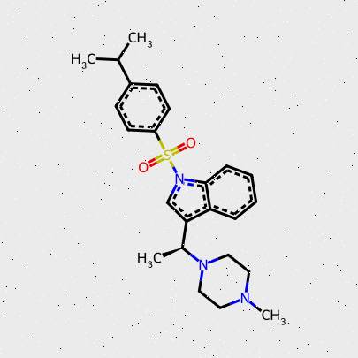 CC(C)c1ccc(S(=O)(=O)n2cc([C@H](C)N3CCN(C)CC3)c3ccccc32)cc1